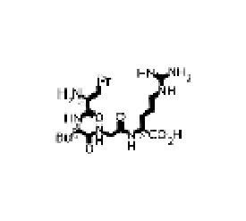 CC[C@H](C)[C@H](NC(=O)[C@@H](N)CC(C)C)C(=O)NCC(=O)N[C@@H](CCCNC(=N)N)C(=O)O